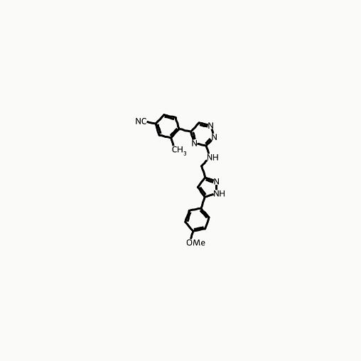 COc1ccc(-c2cc(CNc3nncc(-c4ccc(C#N)cc4C)n3)n[nH]2)cc1